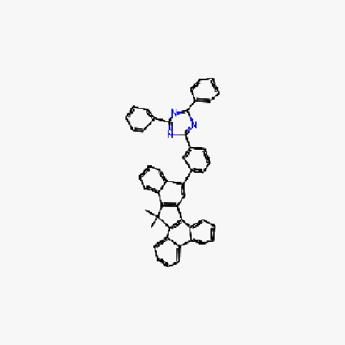 CC1(C)c2c(cc(-c3cccc(-c4nc(-c5ccccc5)nc(-c5ccccc5)n4)c3)c3ccccc23)-c2c1c1ccccc1c1ccccc21